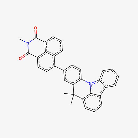 CN1C(=O)c2cccc3c(-c4ccc5c(c4)C(C)(C)c4cccc6c7ccccc7n-5c46)ccc(c23)C1=O